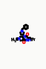 CC(C)CC1NC(=O)C2(CCN(C)CC2)N(C2CCN(Cc3ccccc3)C2)C1=O